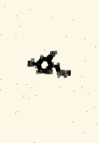 CC[C@H]1CC(=O)[C@H](CC(=O)O)NO1